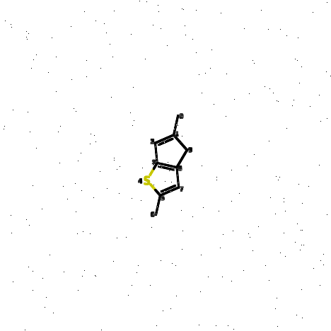 CC1=Cc2sc(C)cc2C1